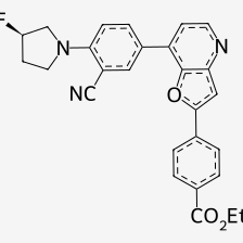 CCOC(=O)c1ccc(-c2cc3nccc(-c4ccc(N5CC[C@@H](F)C5)c(C#N)c4)c3o2)cc1